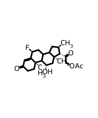 CC(=O)OCC(=O)[C@H]1[C@H](C)CC2C3C[C@H](F)C4=CC(=O)CC[C@]4(C)C3[C@@H](O)C[C@@]21C